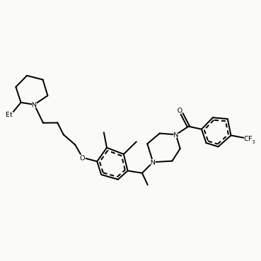 CCC1CCCCN1CCCCOc1ccc(C(C)N2CCN(C(=O)c3ccc(C(F)(F)F)cc3)CC2)c(C)c1C